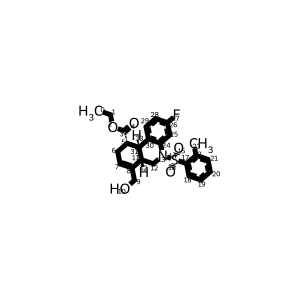 CCOC(=O)[C@H]1CC=C(CO)[C@H]2CN(S(=O)(=O)c3ccccc3C)c3cc(F)ccc3[C@H]12